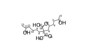 CC(O)CCCCC(CCCCC(C)O)(C(=O)O)C(=O)O